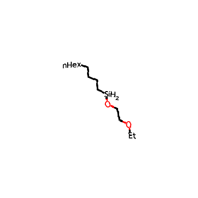 CCCCCCCCCC[SiH2]OCCOCC